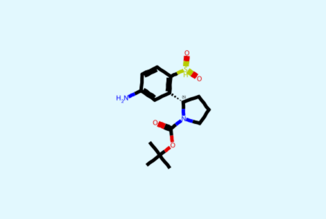 CC(C)(C)OC(=O)N1CCC[C@H]1c1cc(N)ccc1[SH](=O)=O